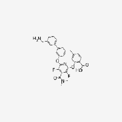 Cc1ccc(C(=O)O)c(Oc2nc(Oc3cccc(-c4cccc(CN)c4)c3)c(F)c(C(=O)N(C)C)c2F)c1